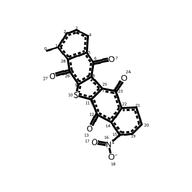 Cc1cccc2c(=O)c3c(sc4c(=O)c5c([N+](=O)[O-])cccc5c(=O)c43)c(=O)c12